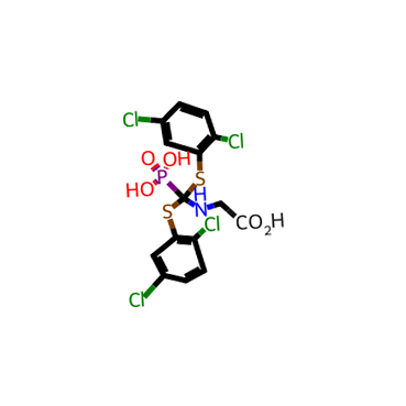 O=C(O)CNC(Sc1cc(Cl)ccc1Cl)(Sc1cc(Cl)ccc1Cl)P(=O)(O)O